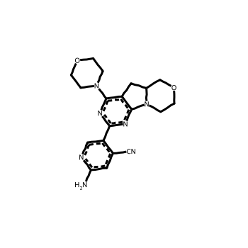 N#Cc1cc(N)ncc1-c1nc(N2CCOCC2)c2c(n1)N1CCOCC1C2